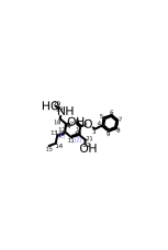 C=C(OCc1ccccc1)/C(=C\C(=C/CC)[C@H](O)CNO)CO